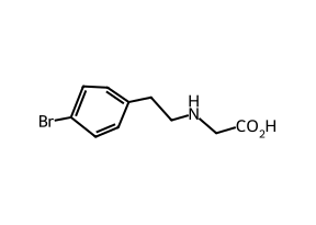 O=C(O)CNCCc1ccc(Br)cc1